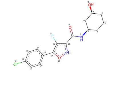 O=C(N[C@@H]1CCC[C@H](O)C1)c1noc(-c2ccc(Cl)cc2)c1F